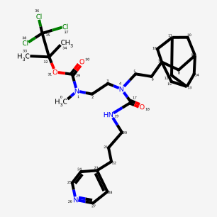 CN(CCN(CCC12CC3CC(CC(C3)C1)C2)C(=O)NCCCc1ccncc1)C(=O)OC(C)(C)C(Cl)(Cl)Cl